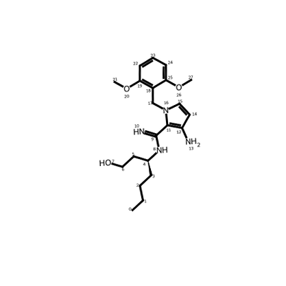 CCCC[C@@H](CCO)NC(=N)c1c(N)ccn1Cc1c(OC)cccc1OC